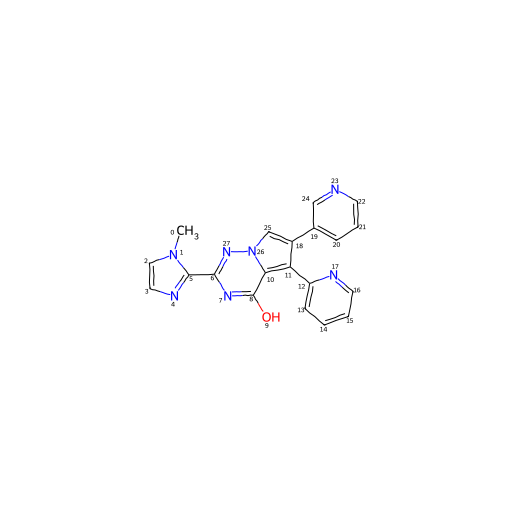 Cn1ccnc1-c1nc(O)c2c(-c3ccccn3)c(-c3cccnc3)cn2n1